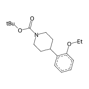 CCOc1ccccc1C1CCN(C(=O)OC(C)(C)C)CC1